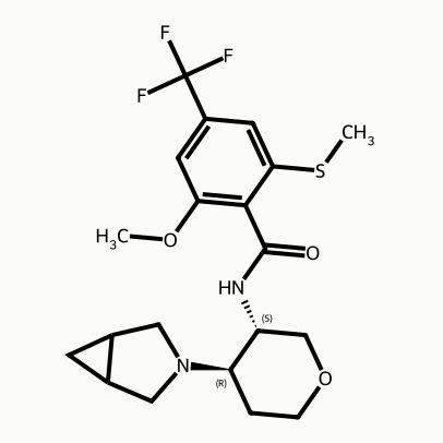 COc1cc(C(F)(F)F)cc(SC)c1C(=O)N[C@@H]1COCC[C@H]1N1CC2CC2C1